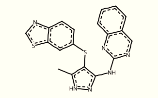 Cc1[nH]nc(Nc2ncc3ccccc3n2)c1Sc1ccc2ncsc2c1